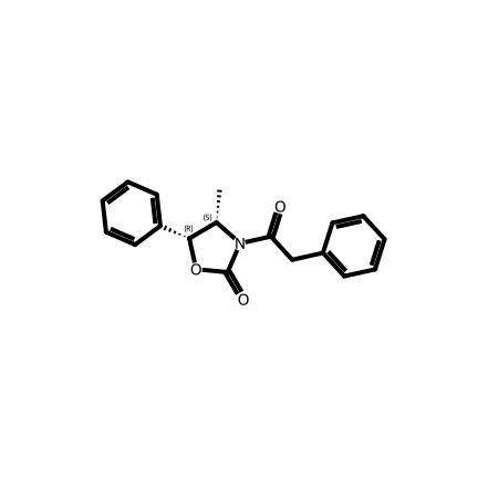 C[C@H]1[C@@H](c2ccccc2)OC(=O)N1C(=O)Cc1ccccc1